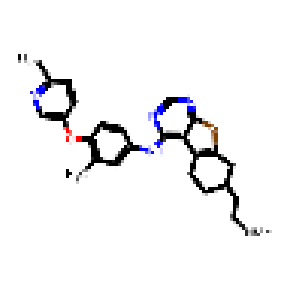 CNCCC1CCc2c(sc3ncnc(Nc4ccc(Oc5ccc(C)nc5)c(C)c4)c23)C1